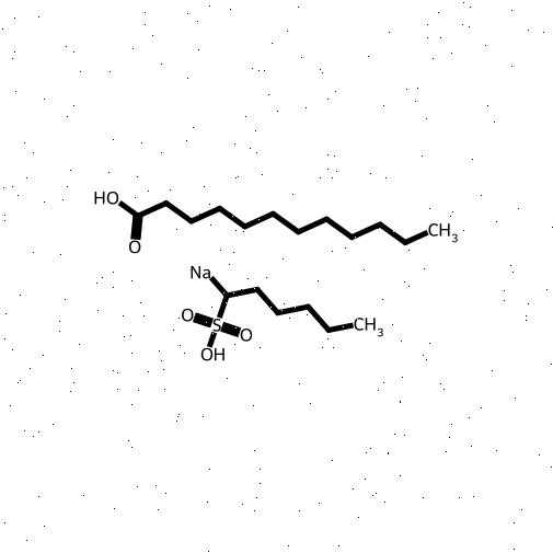 CCCCCCCCCCCC(=O)O.CCCCC[CH]([Na])S(=O)(=O)O